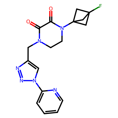 O=C1C(=O)N(C23CC(F)(C2)C3)CCN1Cc1cn(-c2ccccn2)nn1